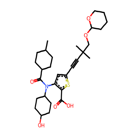 CC1CCC(C(=O)N(c2cc(C#CC(C)(C)COC3CCCCO3)sc2C(=O)O)C2CCC(O)CC2)CC1